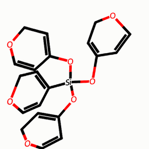 C1=CC(O[Si](OC2=CCOC=C2)(OC2=CCOC=C2)C2=CCOC=C2)=CCO1